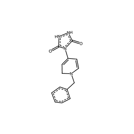 O=c1[nH][nH]c(=O)n1C1=CCN(Cc2ccccc2)C=C1